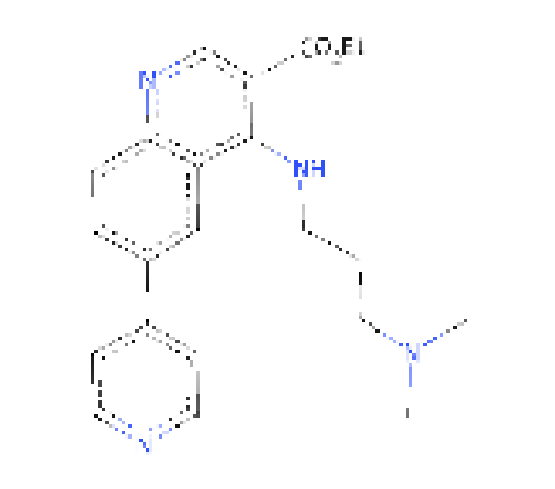 CCOC(=O)c1cnc2ccc(-c3ccncc3)cc2c1NCCCN(C)C